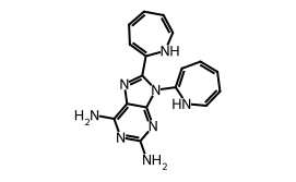 Nc1nc(N)c2nc(C3=CC=CC=CN3)n(C3=CC=CC=CN3)c2n1